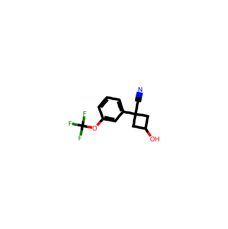 N#CC1(c2cccc(OC(F)(F)F)c2)CC(O)C1